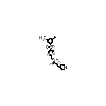 Cc1cc(F)cc(S(=O)(=O)c2cnc(CNC(=O)c3cc4ccncc4o3)nc2)c1